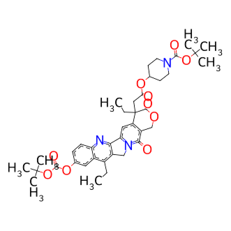 CCc1c2c(nc3ccc(OC(=O)OC(C)(C)C)cc13)-c1cc3c(c(=O)n1C2)COC(=O)C3(CC)CC(=O)OC1CCN(C(=O)OC(C)(C)C)CC1